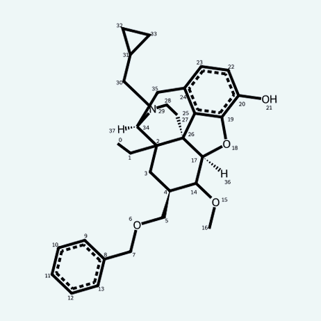 CCC12C[C@H](COCc3ccccc3)C(OC)[C@@H]3Oc4c(O)ccc5c4[C@@]31CCN(CC1CC1)[C@@H]2C5